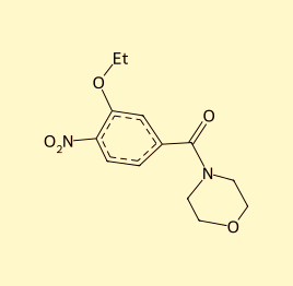 CCOc1cc(C(=O)N2CCOCC2)ccc1[N+](=O)[O-]